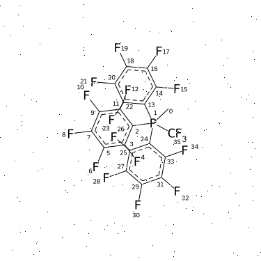 CP(c1c(F)c(F)c(F)c(F)c1F)(c1c(F)c(F)c(F)c(F)c1F)(c1c(F)c(F)c(F)c(F)c1F)C(F)(F)F